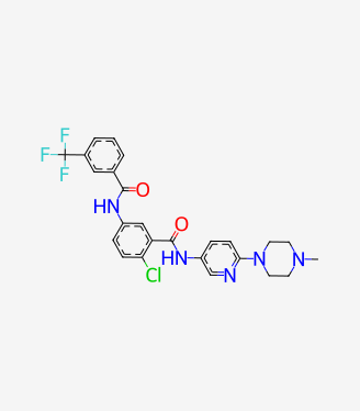 CN1CCN(c2ccc(NC(=O)c3cc(NC(=O)c4cccc(C(F)(F)F)c4)ccc3Cl)cn2)CC1